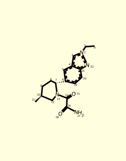 CCn1cc2cc([C@H]3CC[C@H](C)CN3C(=O)C(N)=O)ccc2n1